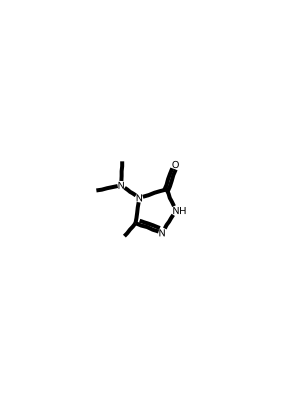 Cc1n[nH]c(=O)n1N(C)C